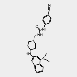 CN(C)c1cc(N[C@H]2CC[C@@H](CNC(=O)Nc3ccc(C#N)cc3)CC2)nc2ccccc12